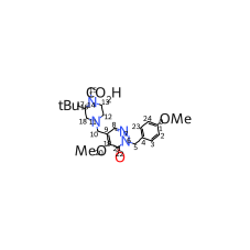 COc1ccc(Cn2ncc(CN3CCN(C(=O)O)C(C(C)(C)C)C3)c(OC)c2=O)cc1